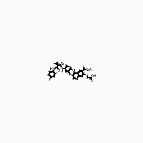 CNC(=O)c1cc2c(Oc3ncc(NC(=O)C4(C(=O)Nc5ccc(F)cc5)CC4)cc3F)ccnc2cc1OCC(C)O